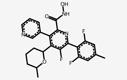 Cc1cc(F)c(-c2nc(C(=O)NO)c(-c3cccnc3)c(C3CCCC(C)O3)c2F)c(F)c1